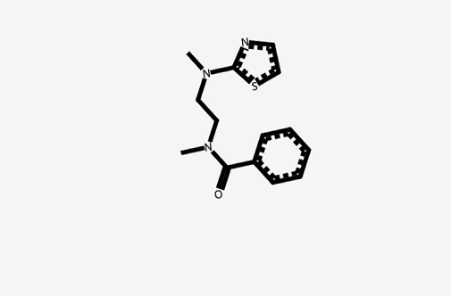 CN(CCN(C)c1nccs1)C(=O)c1ccccc1